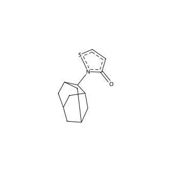 O=c1ccsn1C1C2CC3CC(C2)CC1C3